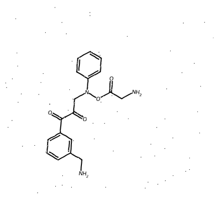 NCC(=O)ON([CH]C(=O)C(=O)c1cccc(CN)c1)c1ccccc1